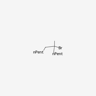 CCCCCCC(C)(Br)CCCCC